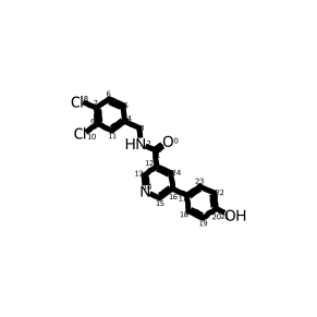 O=C(NCc1ccc(Cl)c(Cl)c1)c1cncc(-c2ccc(O)cc2)c1